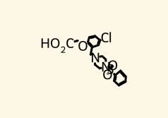 O=C(O)COc1ccc(Cl)cc1CN1CCN(S(=O)(=O)c2ccccc2)CC1